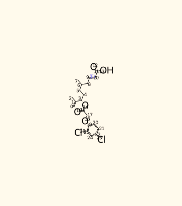 C=C(C)C(CCC(C)C/C=C/C(=O)O)OC(=O)COc1ccc(Cl)cc1Cl